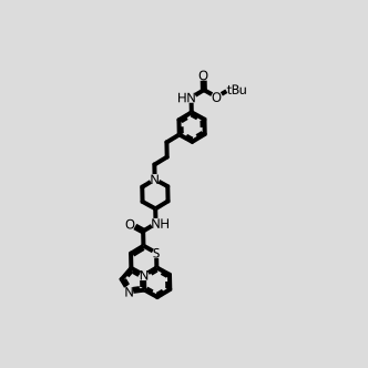 CC(C)(C)OC(=O)Nc1cccc(CCCN2CCC(NC(=O)C3=Cc4cnc5cccc(n45)S3)CC2)c1